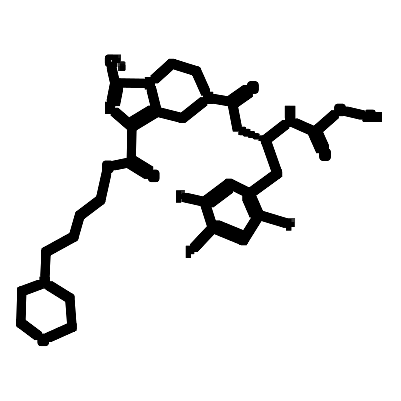 CC(C)(C)OC(=O)N[C@@H](CC(=O)N1CCn2c(C(F)(F)F)nc(C(=O)OCCCCN3CCOCC3)c2C1)Cc1cc(F)c(F)cc1F